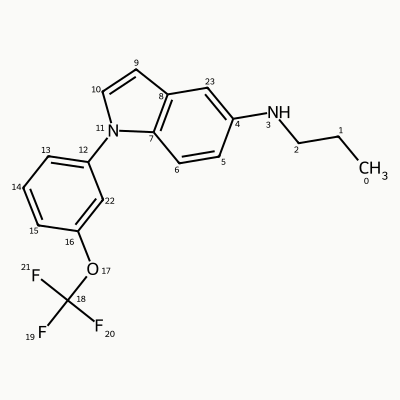 CCCNc1ccc2c(ccn2-c2cccc(OC(F)(F)F)c2)c1